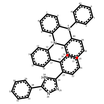 c1ccc(B2c3ccccc3N(c3ccccc3-c3ccccc3-c3nnc(-c4ccccc4)[nH]3)c3ccccc32)cc1